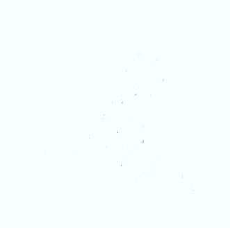 CCCCC[C]1([Ti+3])C2=CC=CCC2CC1[SiH2]c1ccccc1.[Cl-].[Cl-].[Cl-]